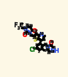 Cc1cc(Cl)cc(-c2ccnc3cc(Cn4c(=O)ccn(CC(F)(F)F)c4=O)sc23)c1CN1CCNCC1=O